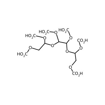 O=C(O)OCC(OC(=O)O)OC(OC(=O)O)C(OC(=O)O)OC(COC(=O)O)OC(=O)O